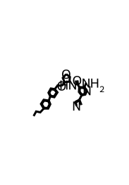 CCCc1ccc(-c2ccc(COC3COC[C@@H]3NC(=O)c3cc(C4=CN=C4)cnc3N)cc2)cc1